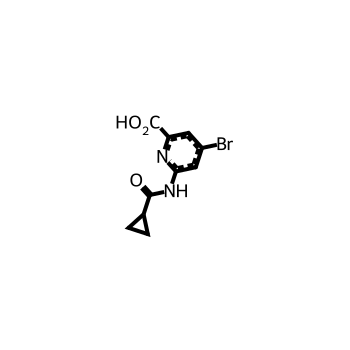 O=C(O)c1cc(Br)cc(NC(=O)C2CC2)n1